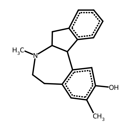 Cc1cc2c(cc1O)C1c3ccccc3CC1N(C)CC2